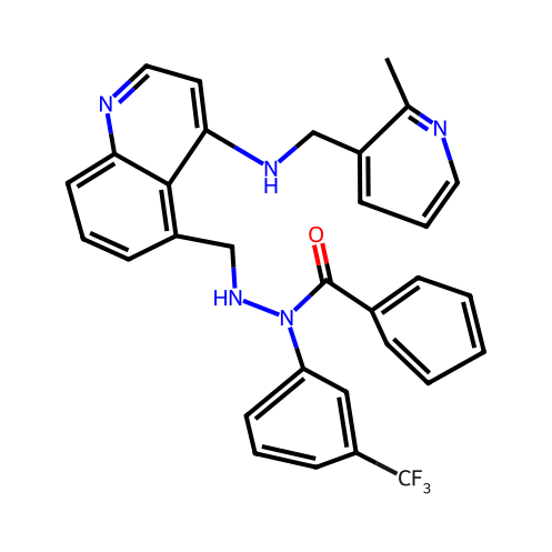 Cc1ncccc1CNc1ccnc2cccc(CNN(C(=O)c3ccccc3)c3cccc(C(F)(F)F)c3)c12